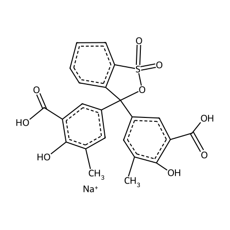 Cc1cc(C2(c3cc(C)c(O)c(C(=O)O)c3)OS(=O)(=O)c3ccccc32)cc(C(=O)O)c1O.[Na+]